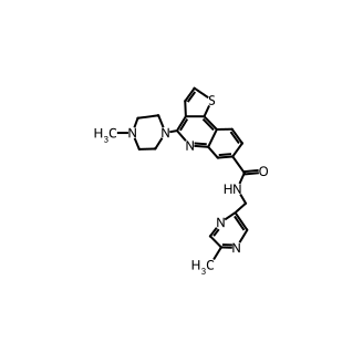 Cc1cnc(CNC(=O)c2ccc3c(c2)nc(N2CCN(C)CC2)c2ccsc23)cn1